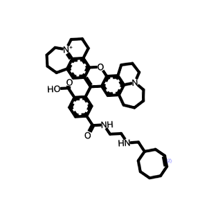 O=C(NCCNCC1C/C=C\CCCC1)c1ccc(C(=O)O)c(C2=c3cc4c5c(c3Oc3c2cc2c6c3CCCN6CCCC2)CCC[N+]=5CCCC4)c1